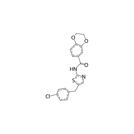 O=C(Nc1ncc(Cc2ccc(Cl)cc2)s1)c1ccc2c(c1)OCCO2